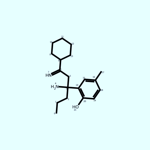 CCCC(N)(CC(=N)C1CCCCC1)c1cc(C)ccc1O